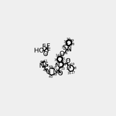 O=C(O)C(F)(F)F.O=C(c1cc(C(=O)N2CCCCC2)c2cc(OCc3nc4ccccc4s3)ccc2n1)N1CCCN(Cc2nccs2)CC1